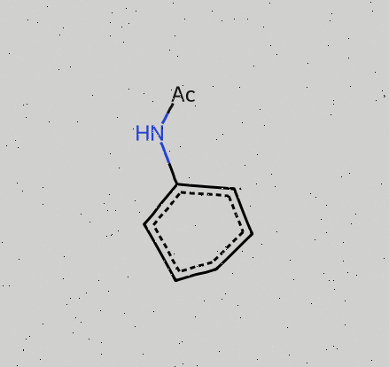 CC(=O)Nc1[c]cccc1